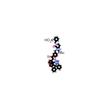 CCCCc1nc2ccn(Cc3ccccc3C(=O)O)c(=O)c2n1Cc1ccc2oc(-c3ccccc3-c3nnnn3C(c3ccccc3)(c3ccccc3)c3ccccc3)c(Br)c2c1